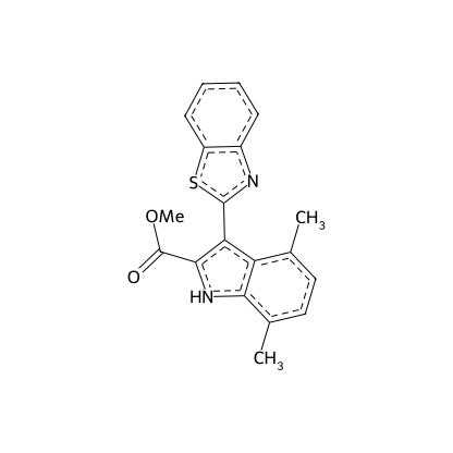 COC(=O)c1[nH]c2c(C)ccc(C)c2c1-c1nc2ccccc2s1